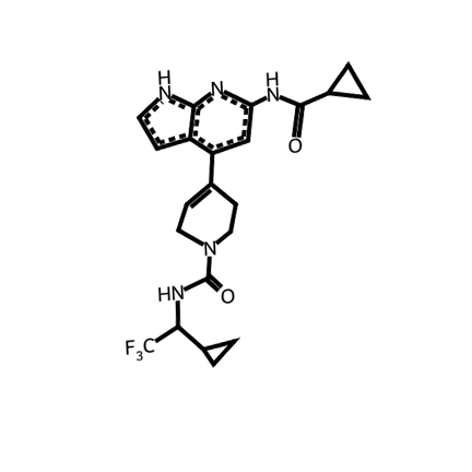 O=C(Nc1cc(C2=CCN(C(=O)NC(C3CC3)C(F)(F)F)CC2)c2cc[nH]c2n1)C1CC1